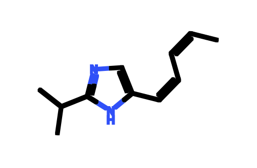 C/C=C\C=C/c1cnc(C(C)C)[nH]1